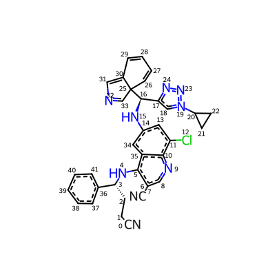 N#CCC[C@@H](Nc1c(C#N)cnc2c(Cl)cc(N[C@H](c3cn(C4CC4)nn3)C34C=CC=CC3=CN=C4)cc12)c1ccccc1